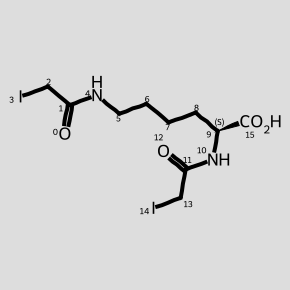 O=C(CI)NCCCC[C@H](NC(=O)CI)C(=O)O